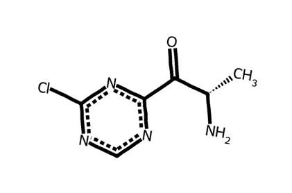 C[C@H](N)C(=O)c1ncnc(Cl)n1